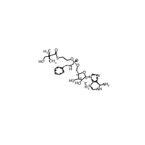 CC(C)(CO)C(=O)SCCOP(=O)(NCc1ccccc1)OC[C@H]1O[C@@H](n2cnc3c2N=CNC3N)[C@@](C)(O)C1O